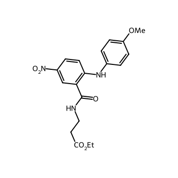 CCOC(=O)CCNC(=O)c1cc([N+](=O)[O-])ccc1Nc1ccc(OC)cc1